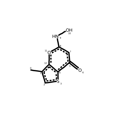 Cc1csc2c(=O)cc(NO)oc12